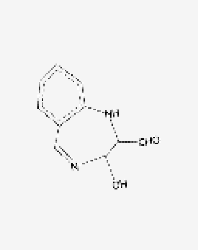 O=CC1Nc2ccccc2C=NC1O